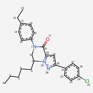 CCCCCC1CN(c2ccc(CC)cc2)C(=O)c2cc(-c3ccc(Cl)cc3)nn21